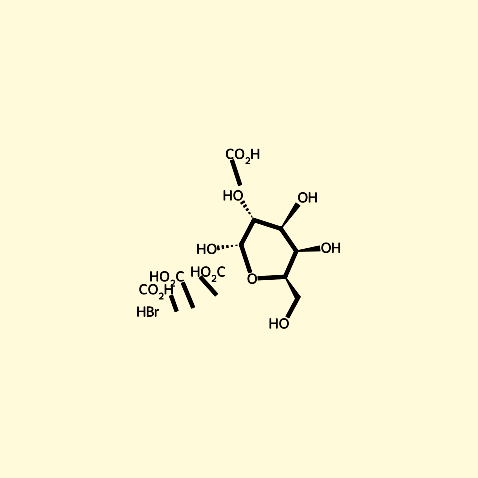 Br.CC(=O)O.CC(=O)O.CC(=O)O.CC(=O)O.OC[C@H]1O[C@H](O)[C@H](O)[C@@H](O)[C@H]1O